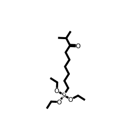 CCO[Si](CCCCCCC(=O)C(C)C)(OCC)OCC